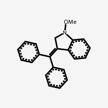 CON1CC(=C(c2ccccc2)c2ccccc2)c2ccccc21